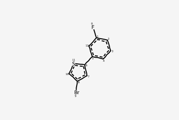 Fc1cccc(-c2cc(Br)cs2)c1